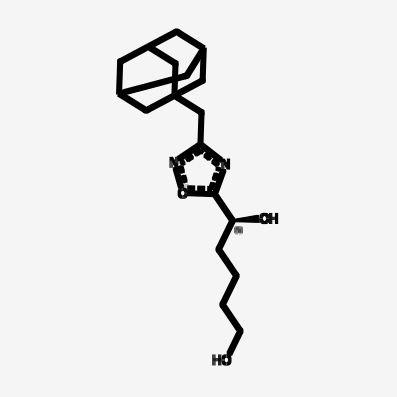 OCCCC[C@H](O)c1nc(CC23CC4CC(CC(C4)C2)C3)no1